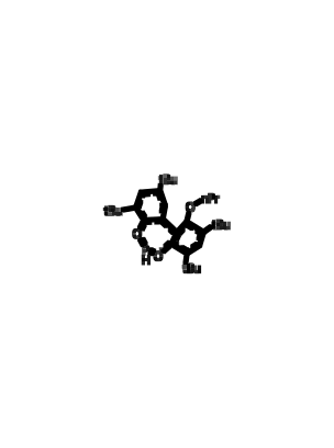 CCCOc1c(C(C)(C)C)cc(C(C)(C)C)c2o[pH]oc3c(C(C)(C)C)cc(C(C)(C)C)cc3c12